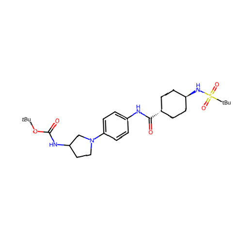 CC(C)(C)OC(=O)NC1CCN(c2ccc(NC(=O)[C@H]3CC[C@H](NS(=O)(=O)C(C)(C)C)CC3)cc2)C1